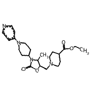 CCOC(=O)C1CCN(CC2OC(=O)N(C3CCN(c4ccncc4)CC3)C2C)CC1